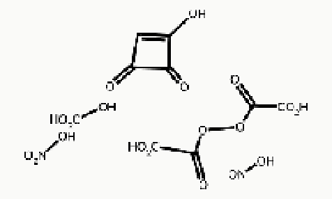 O=C(O)C(=O)OOC(=O)C(=O)O.O=C(O)O.O=NO.O=[N+]([O-])O.O=c1cc(O)c1=O